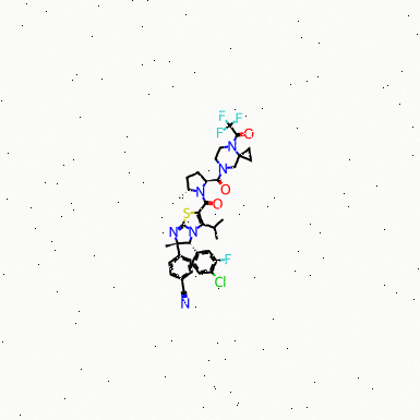 CC(C)C1=C(C(=O)N2[C@H](C)CC[C@H]2C(=O)N2CCN(C(=O)C(F)(F)F)C3(CC3)C2)SC2=N[C@@](C)(c3ccc(C#N)cc3)[C@@H](c3ccc(Cl)c(F)c3)N21